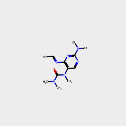 [CH2]CCC=Nc1nc(N(CC)CC)ncc1N(C)C(=O)N(C)C